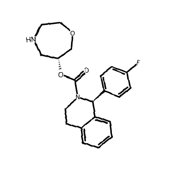 O=C(O[C@@H]1CNCCOC1)N1CCc2ccccc2[C@@H]1c1ccc(F)cc1